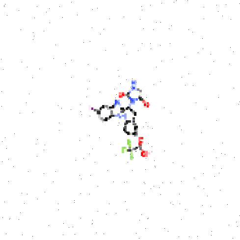 O=C(O)C(F)(F)F.O=C1CNC(=O)N1[C@@H](Cc1ccccc1)c1nc2cc(I)ccc2[nH]1